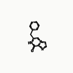 O=c1[nH]c(Cc2ccccc2)cn2ccnc12